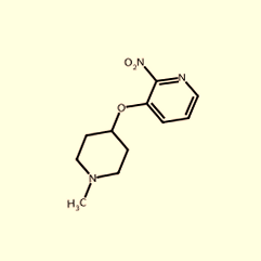 CN1CCC(Oc2cccnc2[N+](=O)[O-])CC1